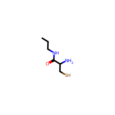 CCCNC(=O)C(N)CS